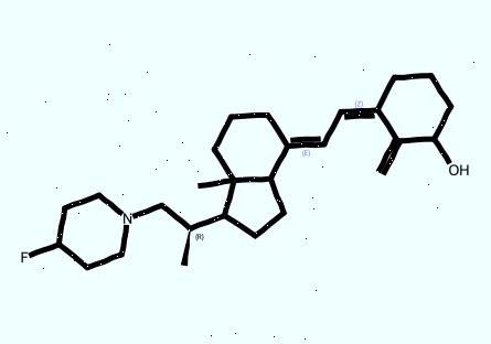 C=C1/C(=C\C=C2/CCCC3(C)C2CCC3[C@@H](C)CN2CCC(F)CC2)CCCC1O